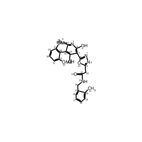 CCCCc1nc(O)c(-c2nnc(CC(=O)NCc3ccccc3C)o2)c(O)c1-c1c(OC)cccc1OC